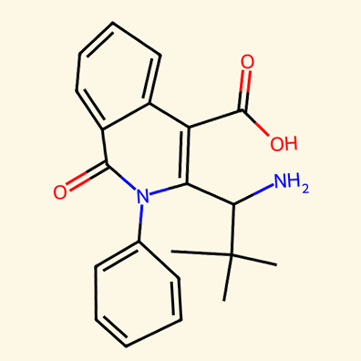 CC(C)(C)C(N)c1c(C(=O)O)c2ccccc2c(=O)n1-c1ccccc1